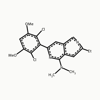 CCc1cc2c(N(C)C)nc(-c3c(Cl)c(OC)cc(OC)c3Cl)cc2cn1